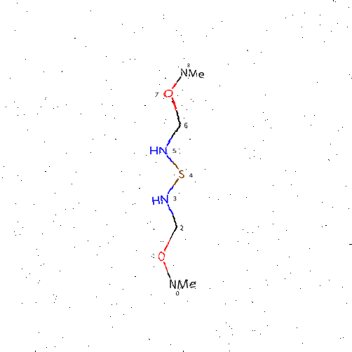 CNOCNSNCONC